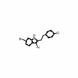 CC(=O)c1c(CCc2ccc(Cl)cc2)[nH]c2cc(Br)ccc12